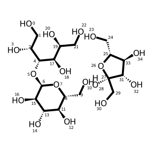 OC[C@@H](O)[C@@H](O[C@H]1O[C@H](CO)[C@@H](O)[C@H](O)[C@H]1O)[C@H](O)[C@@H](O)CO.OC[C@H]1O[C@](O)(CO)[C@@H](O)[C@@H]1O